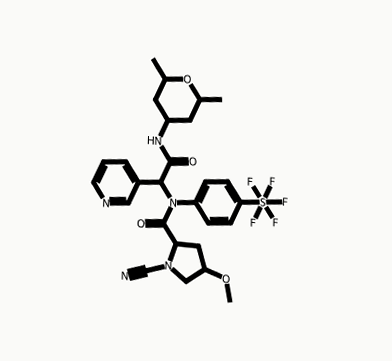 COC1CC(C(=O)N(c2ccc(S(F)(F)(F)(F)F)cc2)C(C(=O)NC2CC(C)OC(C)C2)c2cccnc2)N(C#N)C1